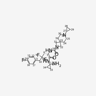 NC1(NC(=O)[C@H](CC(F)(F)Cc2ccc(F)cc2)NC(=O)N2CC3(CCN(C4CC4)CC3)C2)CC1